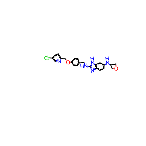 Clc1ccc(COc2ccc(CNc3nc4ccc(NC5COC5)cc4[nH]3)cc2)nc1